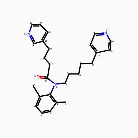 Cc1cccc(C)c1N(CCCCCc1ccncc1)C(=O)CCCc1cccnc1